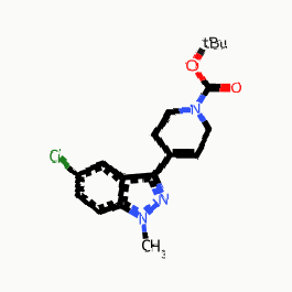 Cn1nc(C2=CCN(C(=O)OC(C)(C)C)CC2)c2cc(Cl)ccc21